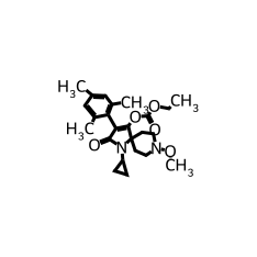 CCOC(=O)OC1=C(c2c(C)cc(C)cc2C)C(=O)N(C2CC2)C12CCN(OC)CC2